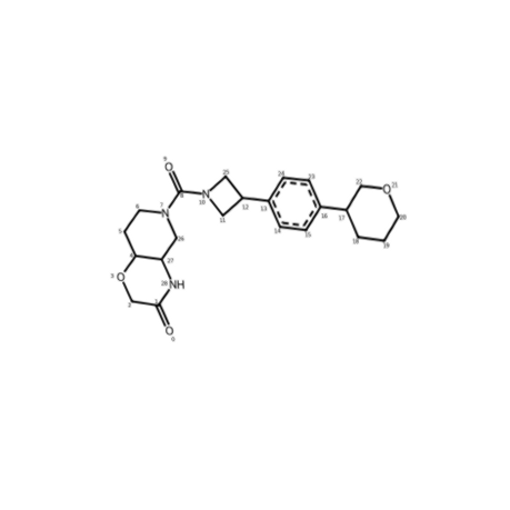 O=C1COC2CCN(C(=O)N3CC(c4ccc(C5CCCOC5)cc4)C3)CC2N1